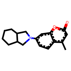 Cc1cc(=O)oc2cc(N3CC4CCCCC4C3)ccc12